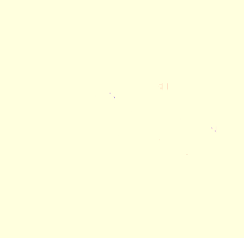 BC(C(=O)Nc1ccc(Cl)cc1)=C1C2CC3CC1CN(C3)C2